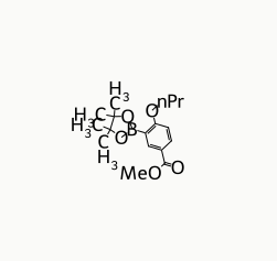 CCCOc1ccc(C(=O)OC)cc1B1OC(C)(C)C(C)(C)O1